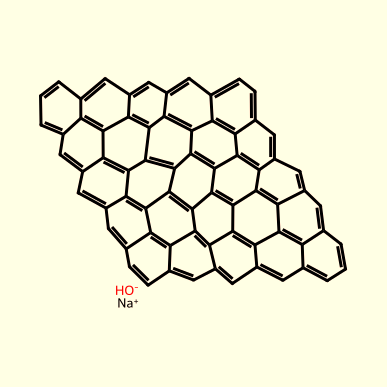 [Na+].[OH-].c1cc2cc3cc4cc5ccc6cc7cc8cc9cccc%10cc%11cc%12cc%13ccc%14cc%15cc%16cc(c1)c2c1c3c2c4c3c5c6c4c7c5c8c(c9%10)c%11c6c%12c7c%13c%14c8c%15c(c%161)c2c1c3c4c(c56)c7c81